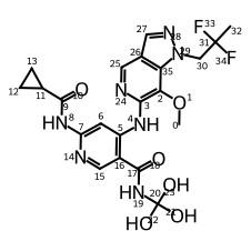 COc1c(Nc2cc(NC(=O)C3CC3)ncc2C(=O)NC(O)(O)O)ncc2cnn(CC(C)(F)F)c12